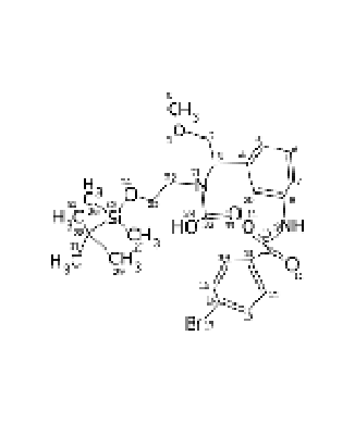 COCC(c1cccc(NS(=O)(=O)c2ccc(Br)cc2)c1)N(CCO[Si](C)(C)C(C)(C)C)C(=O)O